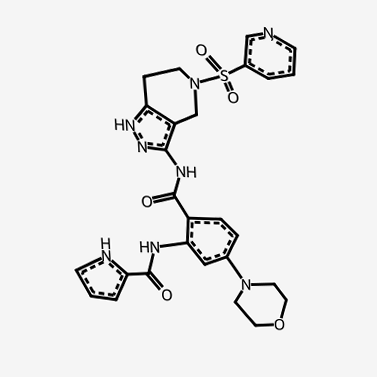 O=C(Nc1cc(N2CCOCC2)ccc1C(=O)Nc1n[nH]c2c1CN(S(=O)(=O)c1cccnc1)CC2)c1ccc[nH]1